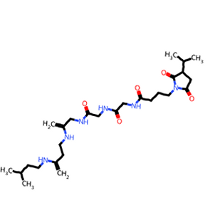 C=C(CCNC(=C)CNC(=O)CNC(=O)CNC(=O)CCCN1C(=O)CC(C(C)C)C1=O)NCCC(C)C